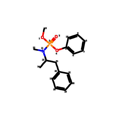 COP(=O)(Oc1ccccc1)N(C)C(C)Cc1ccccc1